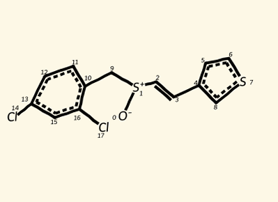 [O-][S+](/C=C/c1ccsc1)Cc1ccc(Cl)cc1Cl